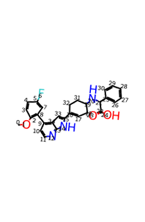 COc1ccc(F)cc1-c1ccnc2[nH]c(C3=CCC(N[C@H](C(=O)O)c4ccccc4)CC3)cc12